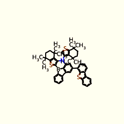 CC1(C)CCC(C)(C)c2c(N3c4cc(-c5cccc6c5sc5ccccc56)cc5c4B(c4ccccc4-5)c4sc5c(c43)C(C)(C)CCC5(C)C)csc21